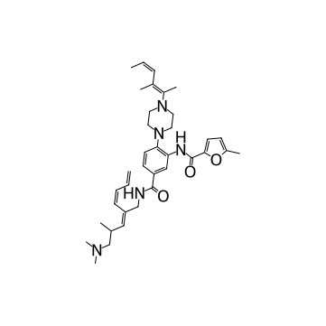 C=C/C=C\C(=C/C(C)CN(C)C)CNC(=O)c1ccc(N2CCN(/C(C)=C(C)/C=C\C)CC2)c(NC(=O)c2ccc(C)o2)c1